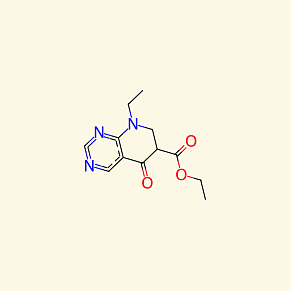 CCOC(=O)C1CN(CC)c2ncncc2C1=O